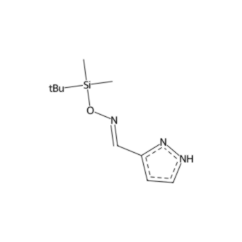 CC(C)(C)[Si](C)(C)ON=Cc1cc[nH]n1